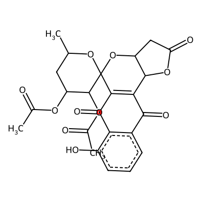 CC(=O)OC1CC(C)OC2(OC3CC(=O)OC3C3=C2C(=O)c2c(O)cccc2C3=O)C1OC(C)=O